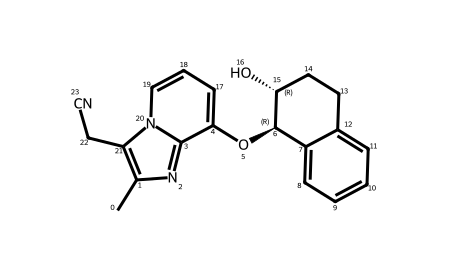 Cc1nc2c(O[C@@H]3c4ccccc4CC[C@H]3O)cccn2c1CC#N